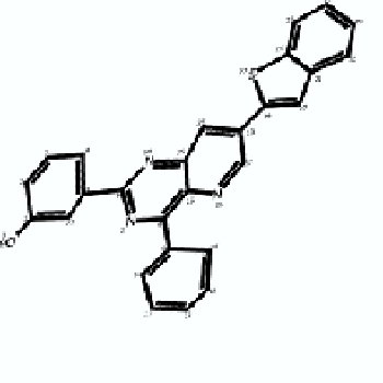 COc1cccc(-c2nc(-c3ccccc3)c3ncc(-c4cc5ccccc5s4)cc3n2)c1